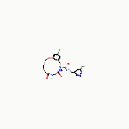 CCc1cncc(CNC[C@@H](O)[C@@H]2Cc3cc(F)cc(c3)OCCCCCC(=O)N(C)CC(=O)N2)c1